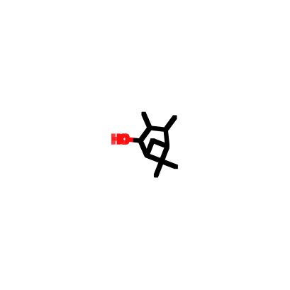 CC1C(C)C2CC(C1O)C2(C)C